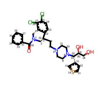 CN(C[C@@H](CCN1CCN([C@@H](c2ccsc2)[C@@H](O)CO)CC1)c1ccc(Cl)c(Cl)c1)C(=O)c1ccccc1